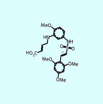 COc1cc(OC)c(/C=C/S(=O)(=O)Nc2ccc(OC)c(NCC=CC(=O)O)c2)c(OC)c1